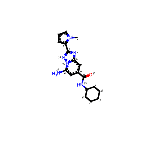 Cn1cccc1-c1nc2cc(C(=O)NC3CCCCC3)cc(N)n2n1